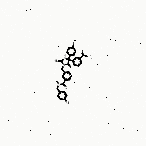 CN(Cc1ccc(Cl)cc1)C(=O)c1cccc(CN2C(=N)NC(c3ccc(F)cc3)(c3cccc(C(N)=O)c3)C2=O)c1